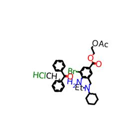 C.CCN(Cc1cc(C(=O)OCCOC(C)=O)cc(Br)c1N)C1CCCCC1.Cl.O=C(c1ccccc1)c1ccccc1